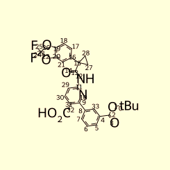 CC(C)(C)OC(=O)c1cccc(-c2nc(NC(=O)C3(c4ccc5c(c4)OC(F)(F)O5)CC3)ccc2C(=O)O)c1